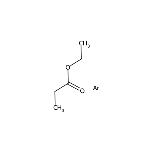 CCOC(=O)CC.[Ar]